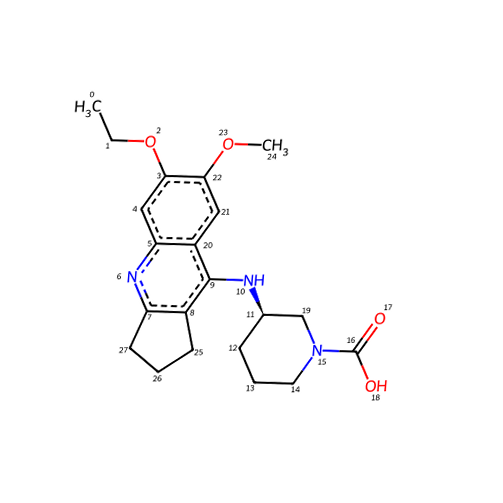 CCOc1cc2nc3c(c(N[C@@H]4CCCN(C(=O)O)C4)c2cc1OC)CCC3